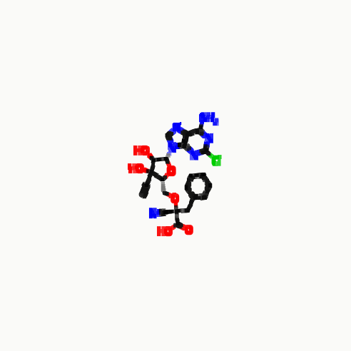 C#C[C@@]1(O)[C@@H](CO[C@](C#N)(Cc2ccccc2)C(=O)O)O[C@@H](n2cnc3c(N)nc(Cl)nc32)[C@@H]1O